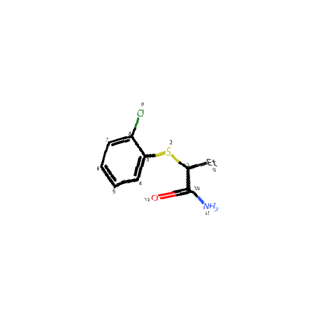 CCC(Sc1ccccc1Cl)C(N)=O